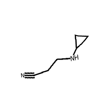 N#CCCNC1CC1